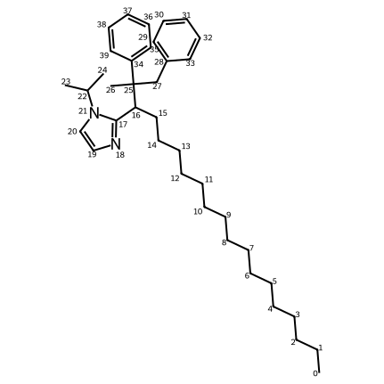 CCCCCCCCCCCCCCCCC(c1nccn1C(C)C)C(C)(Cc1ccccc1)c1ccccc1